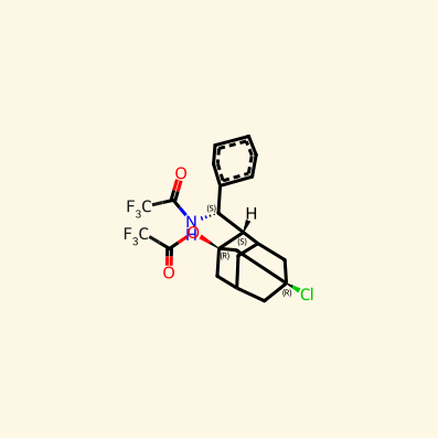 O=C(N[C@H](c1ccccc1)[C@@H]1C2CC3C[C@@](Cl)(C2)C[C@]1(OC(=O)C(F)(F)F)C3)C(F)(F)F